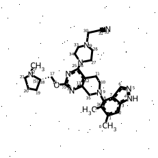 Cc1cc2[nH]ncc2c(N2CCc3c(nc(OC[C@@H]4CCCN4C)nc3N3CCN(CC#N)CC3)C2)c1C